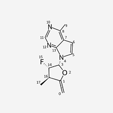 C=C1O[C@@H](n2ccc3c(C)ncnc32)[C@@H](F)[C@@H]1C